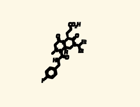 CCC(CC)N1C[C@H]2N(C(=O)CN(C)N2C(=O)NCc2ccc(F)cc2)[C@@H](CCC(=O)O)C1=O